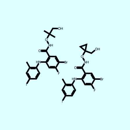 Cc1cc(I)ccc1Nc1cc(F)c(Br)cc1C(=O)NOC(C)(C)CO.Cc1cc(I)ccc1Nc1cc(F)c(Br)cc1C(=O)NOC1(CO)CC1